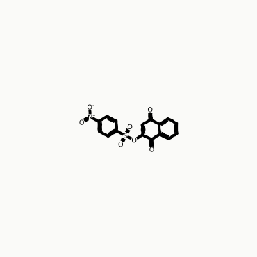 O=C1C=C(OS(=O)(=O)c2ccc([N+](=O)[O-])cc2)C(=O)c2ccccc21